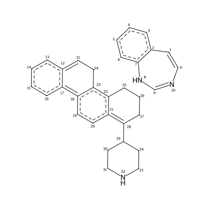 C1=Cc2ccccc2NC=N1.C1=c2ccccc2=c2ccc3c(c2C1)CCCC=3C1CCNCC1